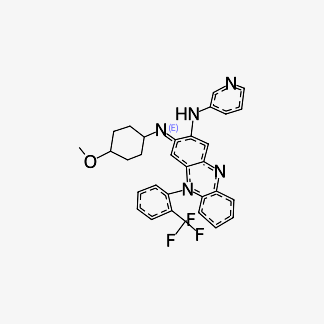 COC1CCC(/N=c2\cc3n(-c4ccccc4C(F)(F)F)c4ccccc4nc-3cc2Nc2cccnc2)CC1